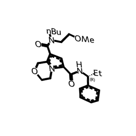 CCCCN(CCOC)C(=O)c1cc(C(=O)N[C@H](CC)c2ccccc2)n2c1COCC2